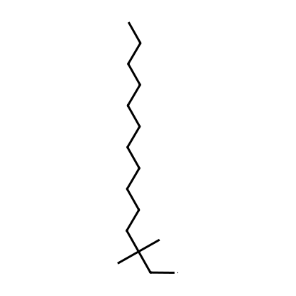 [CH2]CC(C)(C)CCCCCCCCCCC